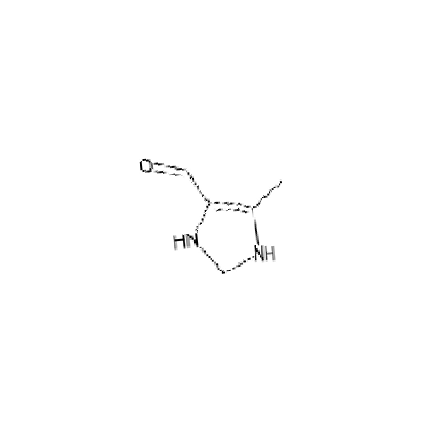 CC1=C(C=O)NCN1